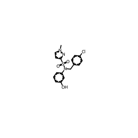 Cn1ccc(S(=O)(=O)N(Cc2ccc(Cl)cc2)c2cccc(O)c2)n1